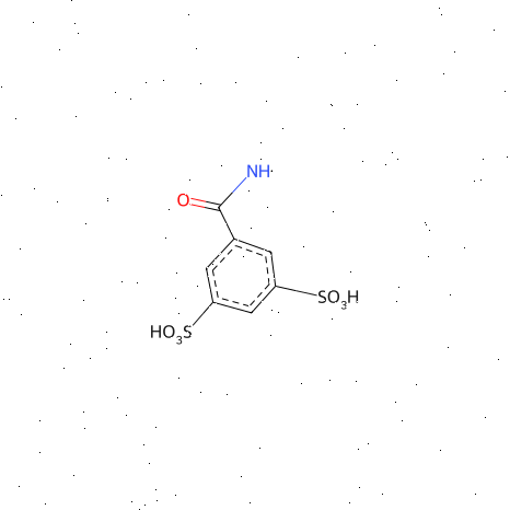 [NH]C(=O)c1cc(S(=O)(=O)O)cc(S(=O)(=O)O)c1